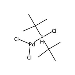 CC(C)(C)[PH](Cl)([Pd]([Cl])[Cl])C(C)(C)C